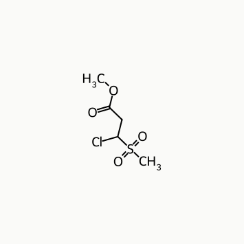 COC(=O)CC(Cl)S(C)(=O)=O